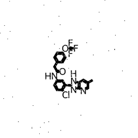 Cc1cnc2nc(-c3cc(NC(=O)Cc4ccc(OC(F)(F)F)cc4)ccc3Cl)[nH]c2c1